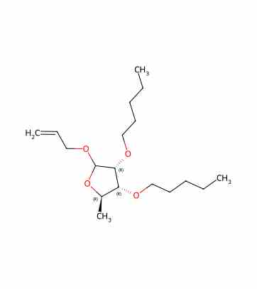 C=CCOC1O[C@H](C)[C@@H](OCCCCC)[C@H]1OCCCCC